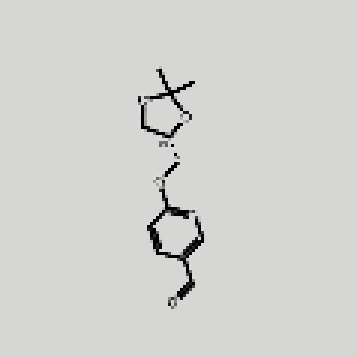 CC1(C)OC[C@@H](COc2ccc(C=O)cn2)O1